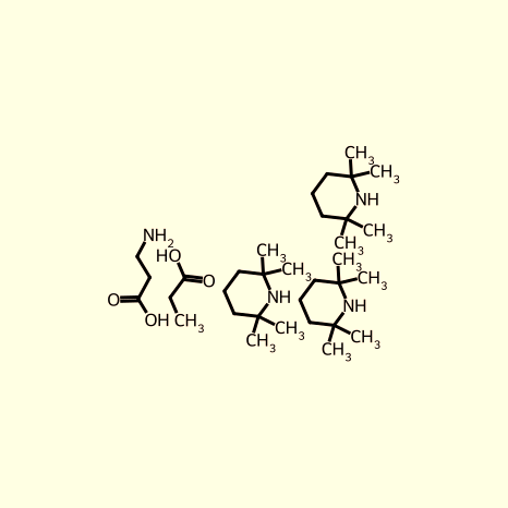 CC1(C)CCCC(C)(C)N1.CC1(C)CCCC(C)(C)N1.CC1(C)CCCC(C)(C)N1.CCC(=O)O.NCCC(=O)O